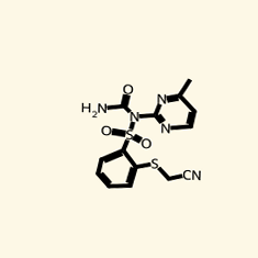 Cc1ccnc(N(C(N)=O)S(=O)(=O)c2ccccc2SCC#N)n1